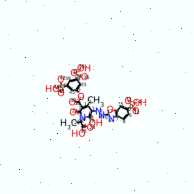 Cc1c(/N=N/c2nc3ccc(S(=O)(=O)O)cc3o2)c(O)n(C(C)C(=O)O)c(=O)c1C(=O)Oc1cc(S(=O)(=O)O)cc(S(=O)(=O)O)c1